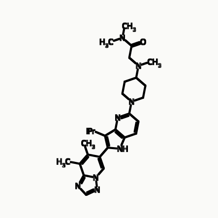 Cc1c(-c2[nH]c3ccc(N4CCC(N(C)CC(=O)N(C)C)CC4)nc3c2C(C)C)cn2ncnc2c1C